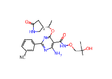 CC(Oc1nc(-c2cccc(C#N)c2)nc(N)c1C(=O)NOCC(C)(C)O)[C@@H]1CNC(=O)C1